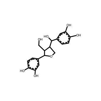 OCC1C(c2ccc(O)c(O)c2)OCC1C(O)c1ccc(O)c(O)c1